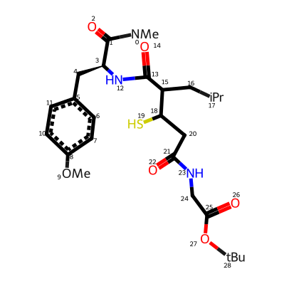 CNC(=O)[C@H](Cc1ccc(OC)cc1)NC(=O)C(CC(C)C)C(S)CC(=O)NCC(=O)OC(C)(C)C